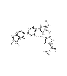 Cc1cc(-c2ccc3oc(C)c(C)c3c2)ccc1C1=NC2(CC2)C(=O)N1C[C@@H]1CCN(C(=O)C2CC2)C1